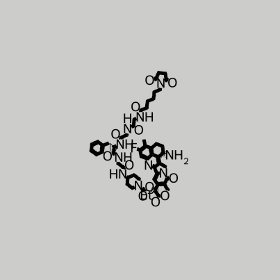 CC[C@@]1(OC(=O)N2CCC(NC(=O)CNC(=O)[C@H](Cc3ccccc3)NC(=O)CNC(=O)CNC(=O)CCCCCN3C(=O)CCC3=O)CC2)C(=O)OCc2c1cc1n(c2=O)Cc2c-1nc1cc(F)c(C)c3c1c2[C@@H](N)CC3